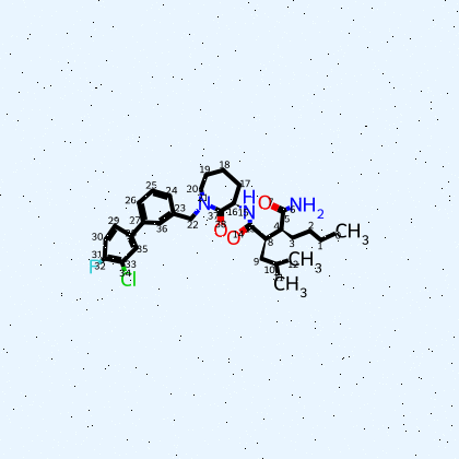 CCCC[C@H](C(N)=O)[C@@H](CC(C)C)C(=O)N[C@H]1CCCCN(Cc2cccc(-c3ccc(F)c(Cl)c3)c2)C1=O